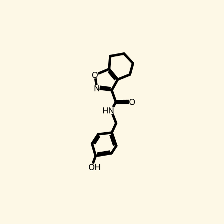 O=C(NCc1ccc(O)cc1)c1noc2c1CCCC2